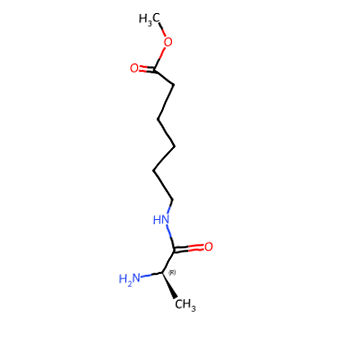 COC(=O)CCCCCNC(=O)[C@@H](C)N